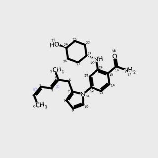 C/C=C\C=C(/C)Cc1cccn1-c1ccc(C(N)=O)c(N[C@H]2CC[C@H](O)CC2)c1